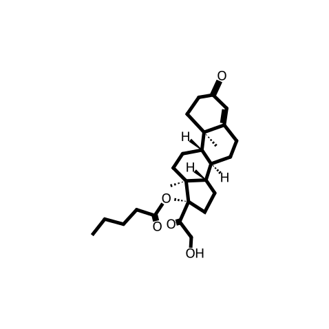 CCCCC(=O)O[C@@]1(C(=O)CO)CC[C@H]2[C@@H]3CCC4=CC(=O)CC[C@]4(C)[C@H]3CC[C@@]21C